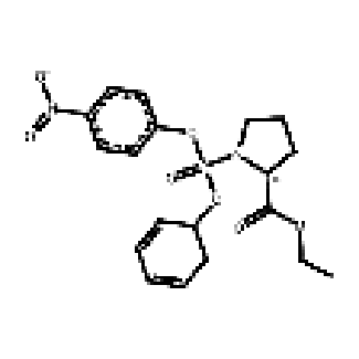 CCOC(=O)[C@@H]1CCCN1P(=O)(Oc1ccc([N+](=O)[O-])cc1)OC1C=CC=CC1